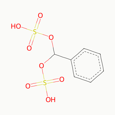 O=S(=O)(O)OC(OS(=O)(=O)O)c1ccccc1